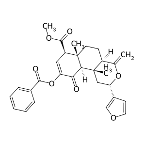 C=C1O[C@H](c2ccoc2)C[C@]2(C)[C@H]3C(=O)C(OC(=O)c4ccccc4)=C[C@@H](C(=O)OC)[C@]3(C)CC[C@@H]12